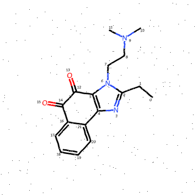 CCc1nc2c(n1CCN(C)C)C(=O)C(=O)c1ccccc1-2